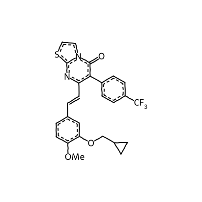 COc1ccc(C=Cc2nc3sccn3c(=O)c2-c2ccc(C(F)(F)F)cc2)cc1OCC1CC1